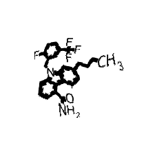 CCCCc1c[c]c2c3c(C(N)=O)cccc3n(Cc3cc(C(F)(F)F)ccc3F)c2c1